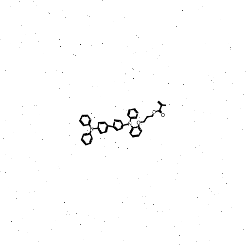 C=C(C)C(=O)OCCCOc1ccccc1N(c1ccccc1)c1ccc(-c2ccc(N(c3ccccc3)c3ccccc3)cc2)cc1